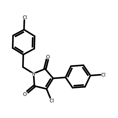 O=C1C(Cl)=C(c2ccc(Cl)cc2)C(=O)N1Cc1ccc(Cl)cc1